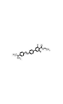 CCOC(=O)c1c(F)cc(-c2ccc(/N=N/c3ccc(N(C)C)cc3)cc2)cc1F